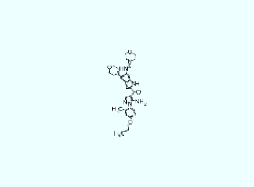 C=CCOc1cc(C)c(-n2ncc(C(=O)c3cc4cc(N5CCOCC5)c(NSN5CCOCC5)cc4[nH]3)c2N)cn1